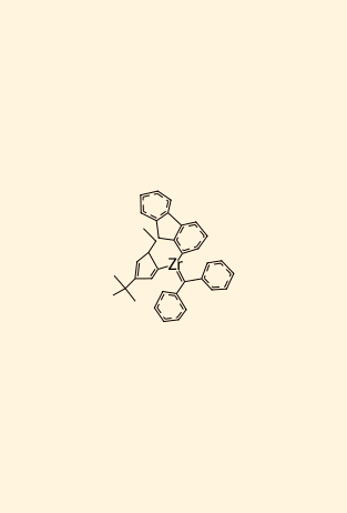 CCC1C=C(C(C)(C)C)C=[C]1[Zr](=[C](c1ccccc1)c1ccccc1)[c]1cccc2c1Cc1ccccc1-2